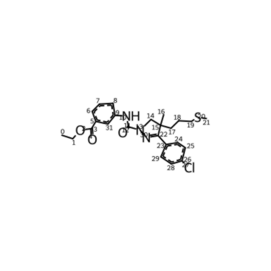 CCOC(=O)c1cccc(NC(=O)N2CC(C)(CCCSC)C(c3ccc(Cl)cc3)=N2)c1